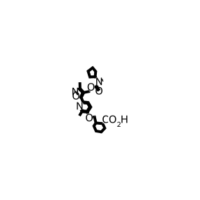 Cc1nc(-c2onc(C)c2COC(=O)N(C)C2CCCC2)ccc1OCC1CCCCC1C(=O)O